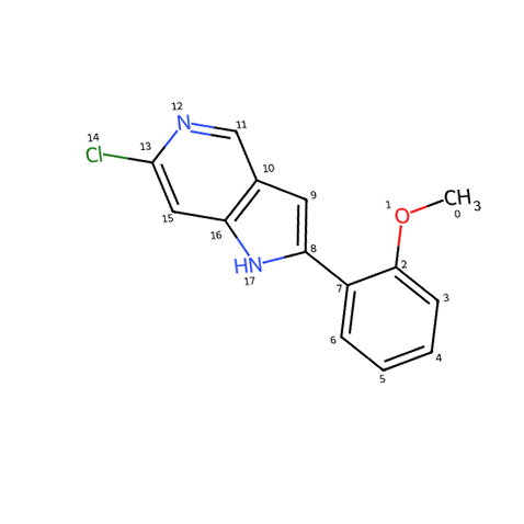 COc1ccccc1-c1cc2cnc(Cl)cc2[nH]1